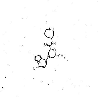 C[C@@H]1CN(c2ccc(C#N)n3nccc23)C[C@H](C(=O)NC2CCCNCC2)O1